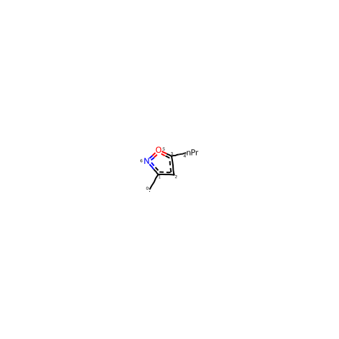 [CH2]c1cc(CCC)on1